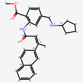 COC(=O)c1ccc(CNC2CCCC2)cc1NC(=O)/C=C(/C)c1ccc2ccccc2c1